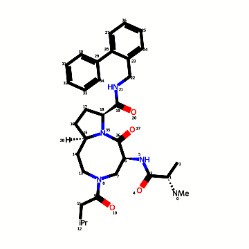 CN[C@@H](C)C(=O)N[C@H]1CN(C(=O)CC(C)C)CC[C@H]2CC[C@@H](C(=O)NCc3ccccc3-c3ccccc3)N2C1=O